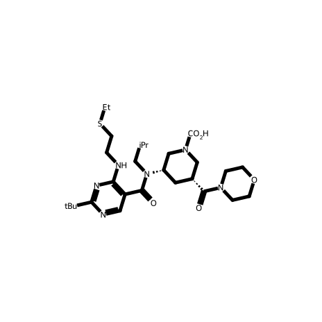 CCSCCNc1nc(C(C)(C)C)ncc1C(=O)N(CC(C)C)[C@H]1C[C@@H](C(=O)N2CCOCC2)CN(C(=O)O)C1